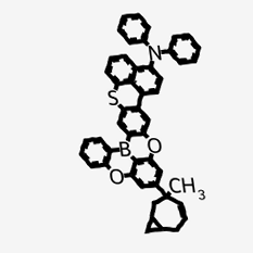 CC1(c2cc3c4c(c2)Oc2cc5c(cc2B4c2ccccc2O3)Sc2cccc3c(N(c4ccccc4)c4ccccc4)ccc-5c23)C=CCC2CC2C1